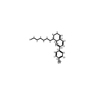 CCCCCCCC1CCC=C2C=CC(c3ccc(Br)cc3)=NC21